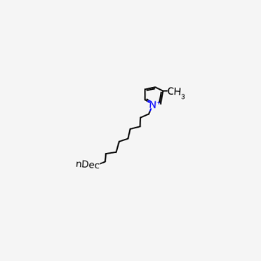 CCCCCCCCCCCCCCCCCCC[n+]1cccc(C)c1